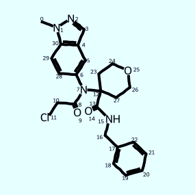 Cn1ncc2cc(N(C(=O)CCl)C3(C(=O)NCc4ccccc4)CCOCC3)ccc21